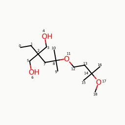 CCC(CO)(CO)CC(C)(C)OCCC(C)(C)OC